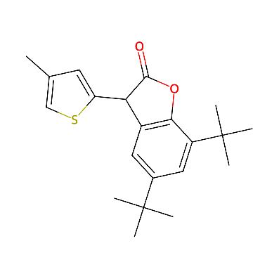 Cc1csc(C2C(=O)Oc3c2cc(C(C)(C)C)cc3C(C)(C)C)c1